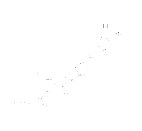 C=CCN(CCC(=O)OCC)C(=O)/C(C)=C/c1ccc(C(=O)Oc2ccc(C(=N)N)cc2)cc1